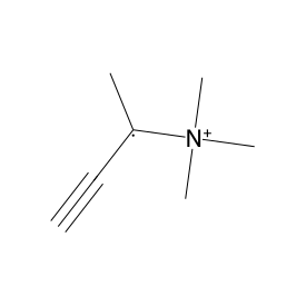 C#C[C](C)[N+](C)(C)C